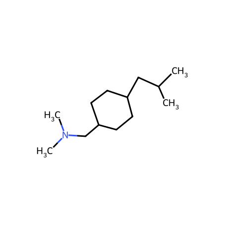 CC(C)CC1CCC(CN(C)C)CC1